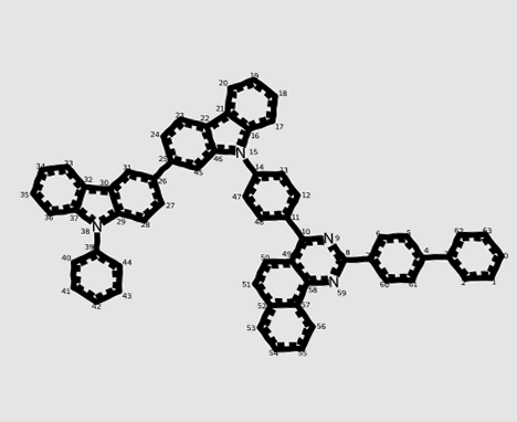 c1ccc(-c2ccc(-c3nc(-c4ccc(-n5c6ccccc6c6ccc(-c7ccc8c(c7)c7ccccc7n8-c7ccccc7)cc65)cc4)c4ccc5ccccc5c4n3)cc2)cc1